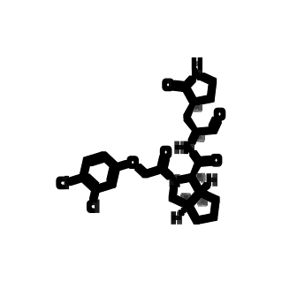 O=C[C@H](C[C@@H]1CCNC1=O)NC(=O)[C@H]1[C@@H]2CCC[C@H]2CN1C(=O)COc1ccc(Cl)c(Cl)c1